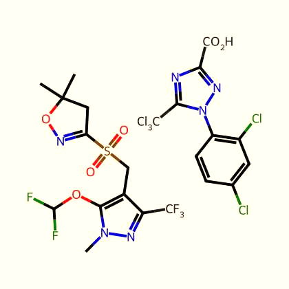 Cn1nc(C(F)(F)F)c(CS(=O)(=O)C2=NOC(C)(C)C2)c1OC(F)F.O=C(O)c1nc(C(Cl)(Cl)Cl)n(-c2ccc(Cl)cc2Cl)n1